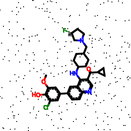 COc1cc(-c2ccc3ncc(C(=O)C4CC4)c(NC4CCC(CN5CC[C@@H](F)C5)CC4)c3c2)cc(Cl)c1O